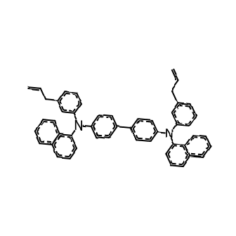 C=CCc1cccc(N(c2ccc(-c3ccc(N(c4cccc(CC=C)c4)c4cccc5ccccc45)cc3)cc2)c2cccc3ccccc23)c1